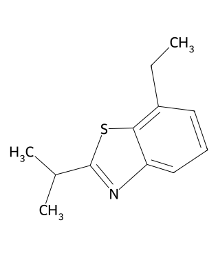 CCc1cccc2nc(C(C)C)sc12